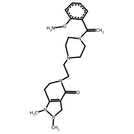 C=C(c1ccccc1ON)N1CCN(CCN2CCC3=C(CN(C)N3C)C2=O)CC1